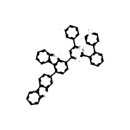 c1ccc(-c2cc(-c3ccc(-c4ccc5c(c4)oc4ccccc45)c4c3oc3ccccc34)nc(-c3ccccc3-c3ccncc3)n2)cc1